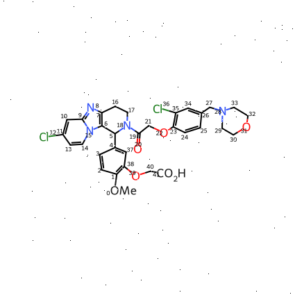 COc1ccc(C2c3c(nc4cc(Cl)ccn34)CCN2C(=O)COc2ccc(CN3CCOCC3)cc2Cl)cc1OCC(=O)O